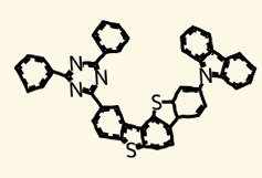 C1=CC2c3ccc4sc5ccc(-c6nc(-c7ccccc7)nc(-c7ccccc7)n6)cc5c4c3SC2C=C1n1c2ccccc2c2ccccc21